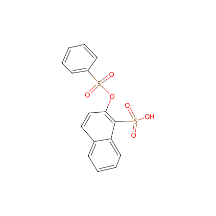 O=S(=O)(O)c1c(OS(=O)(=O)c2ccccc2)ccc2ccccc12